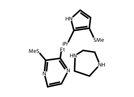 C1CNCCN1.CCc1nccnc1SC.CSc1cc[nH]c1C(C)C